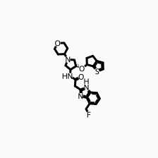 O=C(Cc1nc2c(CF)cccc2[nH]1)NC1CN(C2CCOCC2)C[C@@H]1OC1CCc2ccsc21